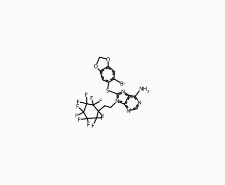 Nc1ncnc2c1nc(Sc1cc3c(cc1Br)OCO3)n2CCC1(F)C(F)(F)C(F)(F)C(F)(F)C(F)(F)C1(F)F